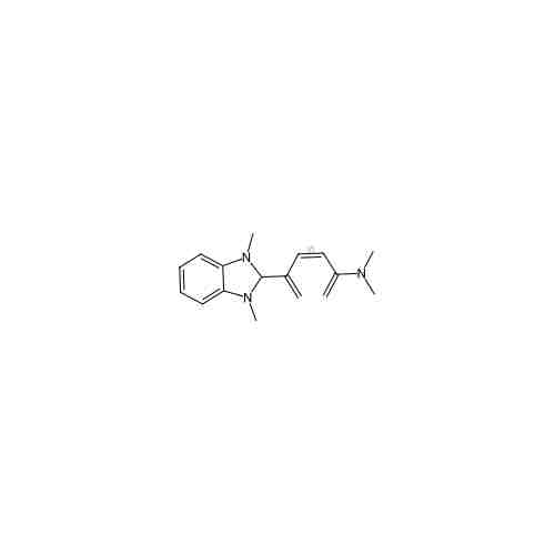 C=C(/C=C\C(=C)N(C)C)C1N(C)c2ccccc2N1C